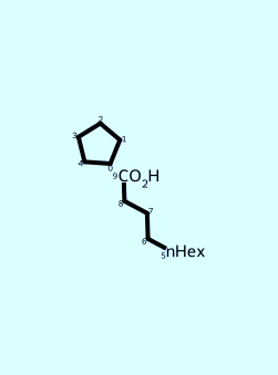 C1CCCC1.CCCCCCCCCC(=O)O